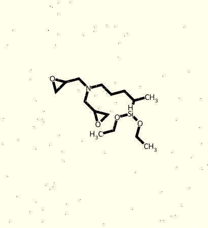 CCO[SiH](OCC)C(C)CCCN(CC1CO1)CC1CO1